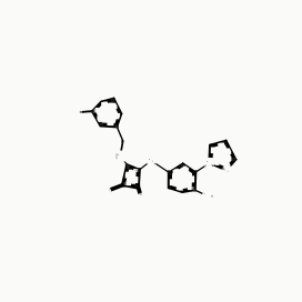 O=c1c(NCc2cccc(O)c2)c(Nc2ccc(O)c(-n3cccn3)c2)c1=O